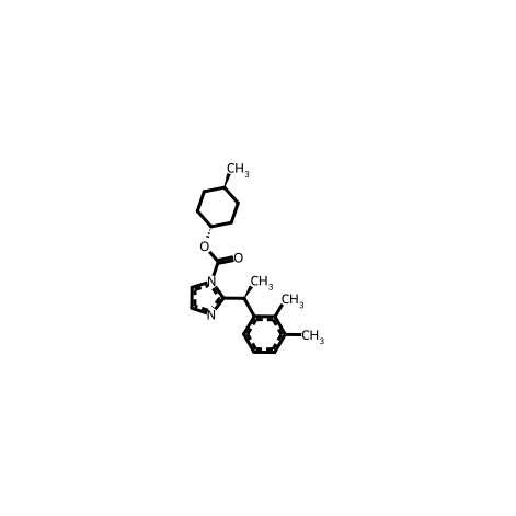 Cc1cccc([C@H](C)c2nccn2C(=O)O[C@H]2CC[C@H](C)CC2)c1C